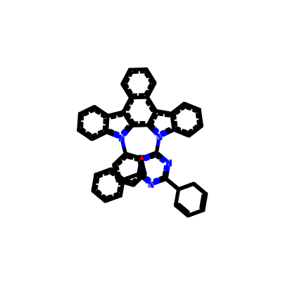 C1=CCC(c2nc(-c3ccccc3)nc(-n3c4ccccc4c4c5ccccc5c5c6ccccc6n(-c6ccccc6)c5c43)n2)C=C1